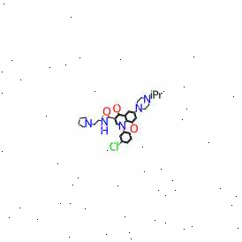 CC(C)N1CCN(c2cc3c4c(c2)c(=O)c(C(=O)NCCN2CCCC2)cn4-c2cc(Cl)ccc2O3)CC1